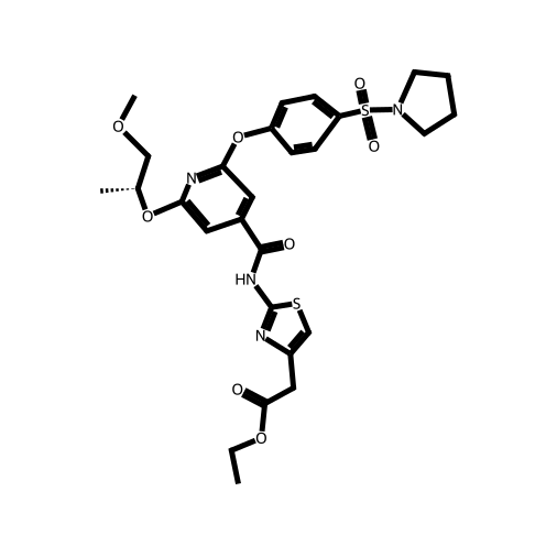 CCOC(=O)Cc1csc(NC(=O)c2cc(Oc3ccc(S(=O)(=O)N4CCCC4)cc3)nc(O[C@H](C)COC)c2)n1